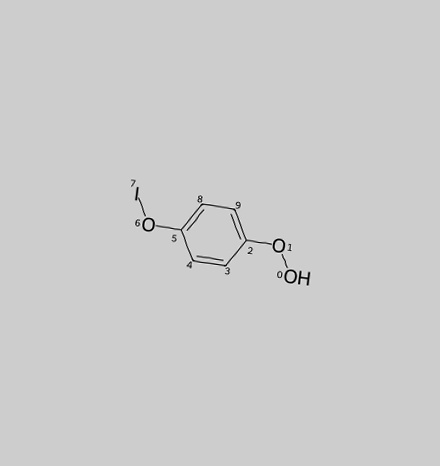 OOc1ccc(OI)cc1